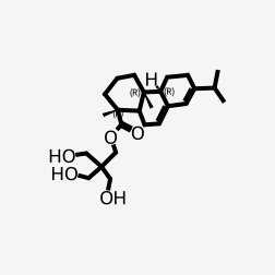 CC(C)C1=CC2=CCC3[C@](C)(C(=O)OCC(CO)(CO)CO)CCC[C@]3(C)[C@H]2CC1